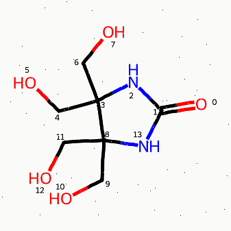 O=C1NC(CO)(CO)C(CO)(CO)N1